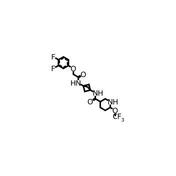 O=C(COc1ccc(F)c(F)c1)NC12CC(NC(=O)C3CCC(OC(F)(F)F)NC3)(C1)C2